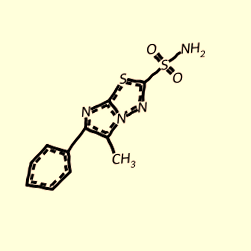 Cc1c(-c2ccccc2)nc2sc(S(N)(=O)=O)nn12